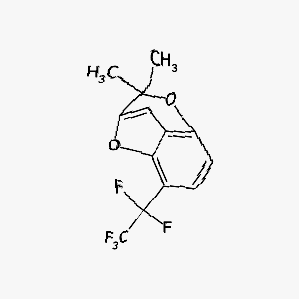 CC1(C)Oc2ccc(C(F)(F)C(F)(F)F)c3oc1cc23